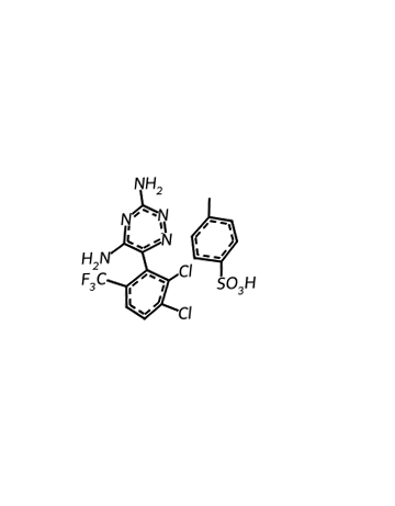 Cc1ccc(S(=O)(=O)O)cc1.Nc1nnc(-c2c(C(F)(F)F)ccc(Cl)c2Cl)c(N)n1